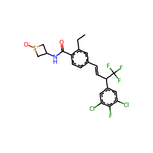 CCc1cc(/C=C/C(c2cc(Cl)c(F)c(Cl)c2)C(F)(F)F)ccc1C(=O)NC1C[S+]([O-])C1